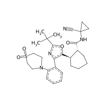 CC(C)(C)c1nc(-c2ccccc2N2CCS(=O)(=O)CC2)c([C@@H]2CCCC[C@H]2C(=O)NC2(C#N)CC2)o1